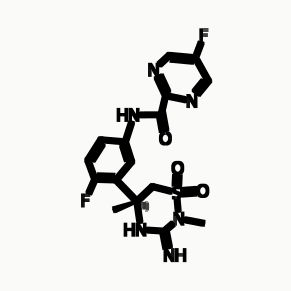 CN1C(=N)N[C@](C)(c2cc(NC(=O)c3ncc(F)cn3)ccc2F)CS1(=O)=O